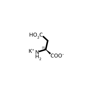 N[C@@H](CC(=O)O)C(=O)[O-].[K+]